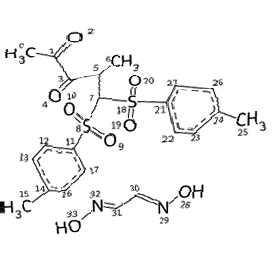 CC(=O)C(=O)C(C)C(S(=O)(=O)c1ccc(C)cc1)S(=O)(=O)c1ccc(C)cc1.ON=CC=NO